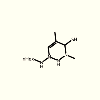 CCCCCCNN1C=C(C)C(S)N(C)N1